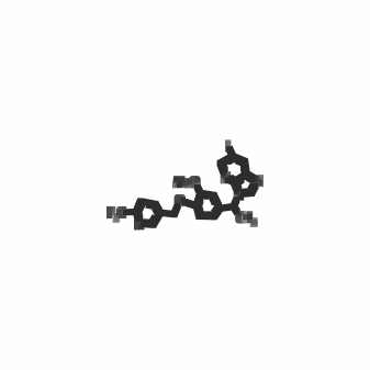 COc1cc(C(C)n2cnc3cc(I)cnc32)ccc1OCc1ccc(C(F)(F)F)nc1